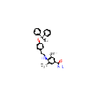 COc1cc(C(N)=O)cc([N+](=O)[O-])c1NCCc1ccc(O[Si](c2ccccc2)(c2ccccc2)C(C)(C)C)cc1